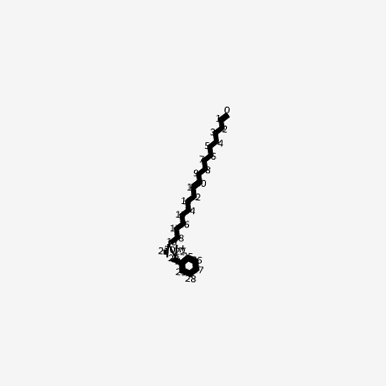 C=CCCCCCCCCC=CCCCCCCCC[N+](C)(C)Cc1ccccc1